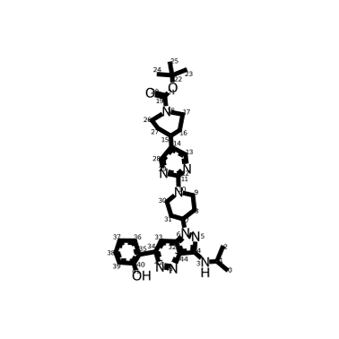 CC(C)Nc1nn(C2CCN(c3ncc(C4CCN(C(=O)OC(C)(C)C)CC4)cn3)CC2)c2cc(-c3ccccc3O)nnc12